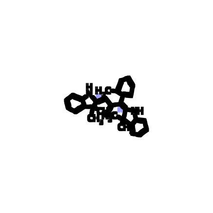 Cc1ccccc1/C(C(=O)/C=C1/Nc2ccccc2C1(C)C)=C1\Nc2ccccc2C1(C)C